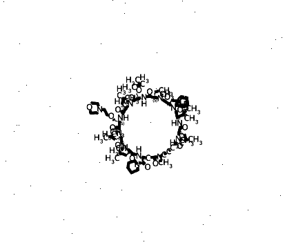 CC[C@H](C)[C@@H]1NC(=O)[C@H](CC(C)C)N(C)C(=O)CCCN(C)C(=O)C[C@@H](C(=O)N2CCCCC2)NC(=O)[C@H](CC(C)C)N(C)C(=O)[C@H](CC(C)C)N(C)C(=O)[C@H](COCCN2CCOCC2)NC(=O)[C@H](CC(C)C)N(C)C(=O)[C@H](COC(C)(C)C)NC(=O)[C@H](CC)N(C)C(=O)[C@H](Cc2ccccc2)N(C)C1=O